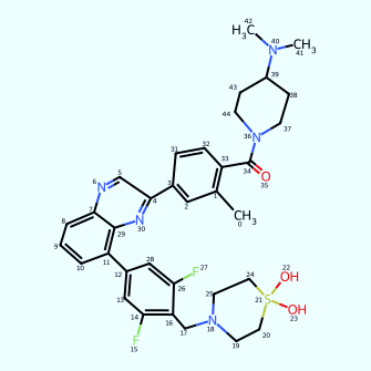 Cc1cc(-c2cnc3cccc(-c4cc(F)c(CN5CCS(O)(O)CC5)c(F)c4)c3n2)ccc1C(=O)N1CCC(N(C)C)CC1